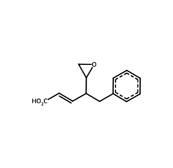 O=C(O)C=CC(Cc1ccccc1)C1CO1